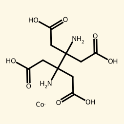 NC(CC(=O)O)(CC(=O)O)C(N)(CC(=O)O)CC(=O)O.[Co]